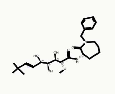 CO[C@@H](C(=O)N[C@H]1CCCCN(Cc2ccccc2)C1=O)[C@H](O)[C@@H](O)[C@H](O)/C=C/C(C)(C)C